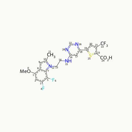 COc1cc(F)c(F)c2c1cc(C)n2CCNc1cc(-c2cc(C(F)(F)F)c(C(=O)O)s2)ncn1